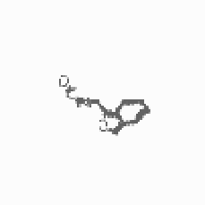 O=C=NCc1occ2ccccc12